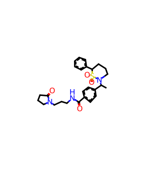 CC(c1ccc(C(=O)NCCCN2CCCC2=O)cc1)N1CCCC(c2ccccc2)S1(=O)=O